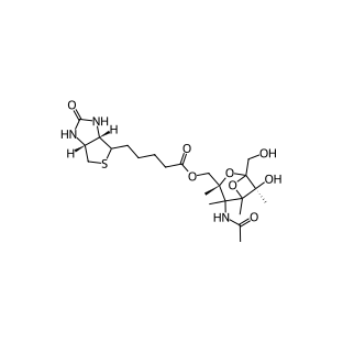 CC(=O)NC1(C)C2(C)OC(CO)(O[C@@]1(C)COC(=O)CCCCC1SC[C@@H]3NC(=O)N[C@H]13)[C@@]2(C)O